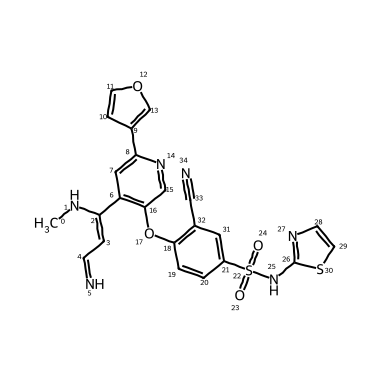 CN/C(=C\C=N)c1cc(-c2ccoc2)ncc1Oc1ccc(S(=O)(=O)Nc2nccs2)cc1C#N